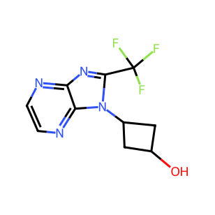 OC1CC(n2c(C(F)(F)F)nc3nccnc32)C1